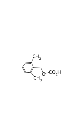 Cc1cccc(C)c1COC(=O)O